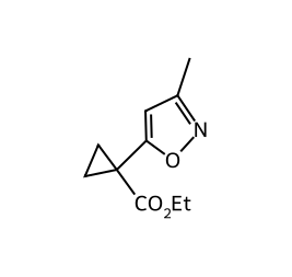 CCOC(=O)C1(c2cc(C)no2)CC1